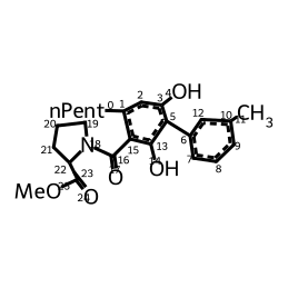 CCCCCc1cc(O)c(-c2cccc(C)c2)c(O)c1C(=O)N1CCCC1C(=O)OC